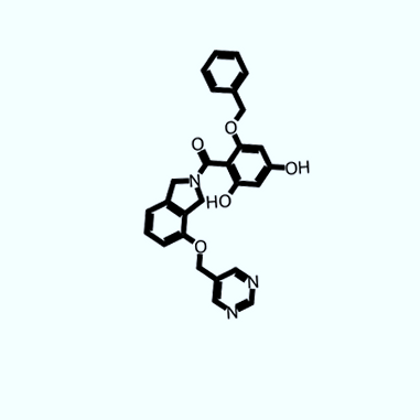 O=C(c1c(O)cc(O)cc1OCc1ccccc1)N1Cc2cccc(OCc3cncnc3)c2C1